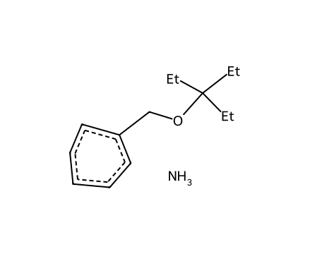 CCC(CC)(CC)OCc1ccccc1.N